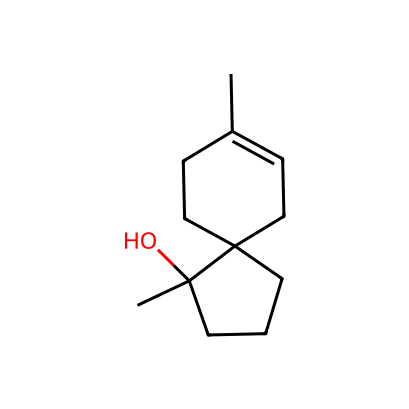 CC1=CCC2(CCCC2(C)O)CC1